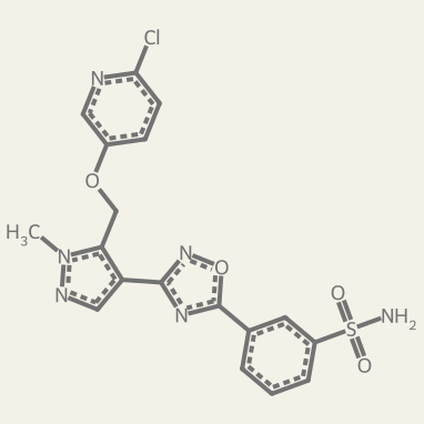 Cn1ncc(-c2noc(-c3cccc(S(N)(=O)=O)c3)n2)c1COc1ccc(Cl)nc1